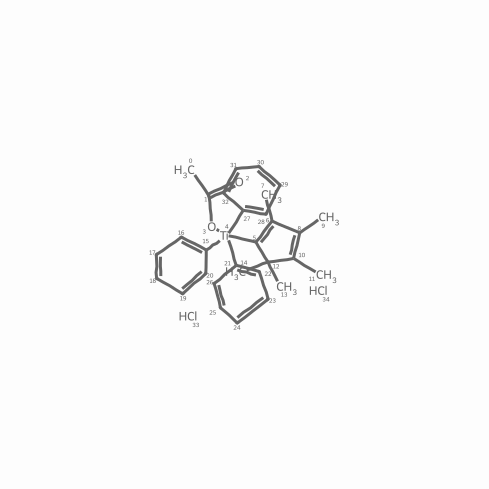 CC(=O)[O][Ti]([C]1=C(C)C(C)=C(C)C1(C)C)([c]1ccccc1)([c]1ccccc1)[c]1ccccc1.Cl.Cl